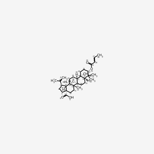 C=C(C)[C@@H]1CC[C@]2(C(=O)O)CC[C@]3(C)[C@H](CC[C@@H]4[C@@]5(C)CC[C@H](OC(=O)C=CC)C(C)(C)[C@@H]5CC[C@]43C)[C@@H]12